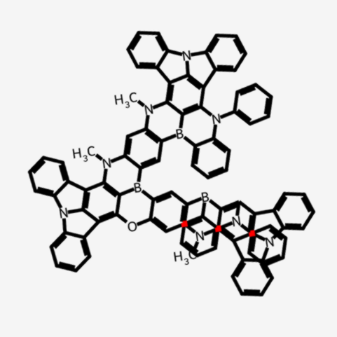 CN1c2cc3c(cc2B2c4cc5c(cc4Oc4c2c1c1c2ccccc2n2c6ccccc6c4c12)N(C)c1c2c(c4c6ccccc6n6c7ccccc7c1c46)N(c1ccccc1)c1ccccc1B52)B1c2ccccc2N(c2ccccc2)c2c1c(c1c4ccccc4n4c5ccccc5c2c14)N3C